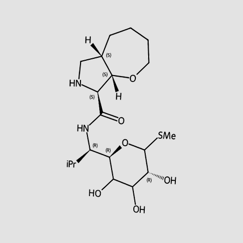 CSC1O[C@H]([C@H](NC(=O)[C@H]2NC[C@@H]3CCCCO[C@@H]32)C(C)C)C(O)C(O)[C@H]1O